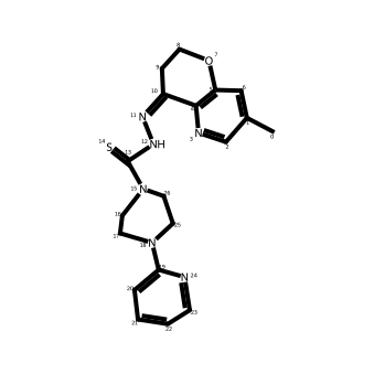 Cc1cnc2c(c1)OCC/C2=N/NC(=S)N1CCN(c2ccccn2)CC1